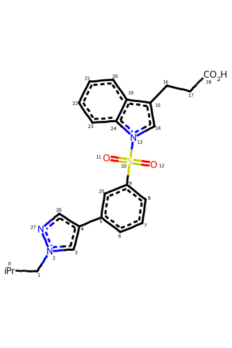 CC(C)Cn1cc(-c2cccc(S(=O)(=O)n3cc(CCC(=O)O)c4ccccc43)c2)cn1